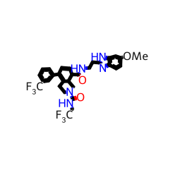 COc1ccc2nc(CCNC(=O)C3C=CC(c4cccc(C(F)(F)F)c4)=C4CCN(C(=O)NCC(F)(F)F)CC43)[nH]c2c1